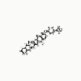 O=C1c2ccc(OC3CCN(C4COC4)CC3)nc2CCN1CC(O)CN1CCc2ccccc2C1